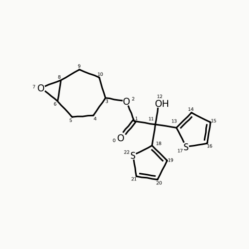 O=C(OC1CCC2OC2CC1)C(O)(c1cccs1)c1cccs1